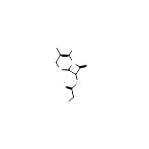 CC1=C(C(=O)O)N2C(=O)C(NC(=O)C[N+](=O)[O-])[C@H]2SC1